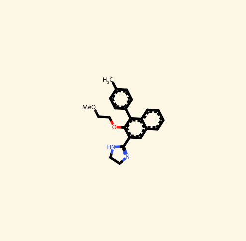 COCCOc1c(C2=NCCN2)cc2ccccc2c1-c1ccc(C)cc1